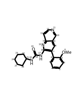 COc1ccccc1-c1cc2cnccc2nc1NC(=O)NC1CCCCC1